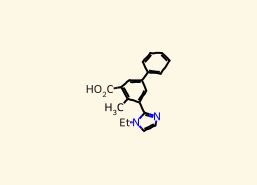 CCn1ccnc1-c1cc(-c2ccccc2)cc(C(=O)O)c1C